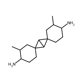 CC1CC2(CCC1N)C1C2C12CCC(N)C(C)C2